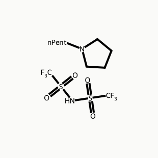 CCCCCN1CCCC1.O=S(=O)(NS(=O)(=O)C(F)(F)F)C(F)(F)F